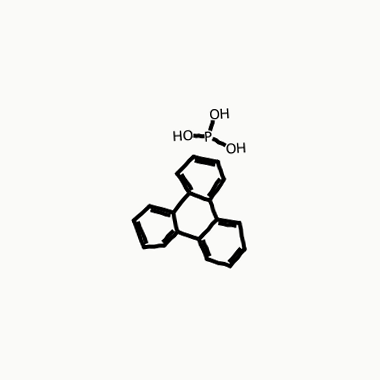 OP(O)O.c1ccc2c(c1)c1ccccc1c1ccccc21